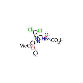 COc1ccc(-c2nc3cc(C(=O)NCCC(=O)O)ccc3n2Cc2cc(Cl)cc(Cl)c2)cc1OCc1ccccc1